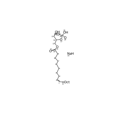 CCCCCCCC/C=C\CCCCCCCC(=O)OCC(CO)OP(=O)(O)O.[NaH]